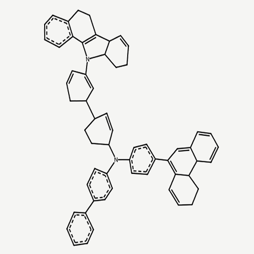 C1=CC2=CC(c3ccc(N(c4ccc(-c5ccccc5)cc4)C4C=CC(C5C=C(N6C7=C(CCc8ccccc87)C7C=CCCC76)C=CC5)CC4)cc3)=C3C=CCCC3C2C=C1